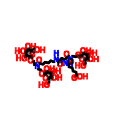 O=C(O)CCCCC(=O)NC(CC(=O)NCCCCCC(=O)N(CCO[C@H]1O[C@H](CO)[C@@H](O)[C@H](O)[C@@H]1O)CCO[C@H]1O[C@H](CO)[C@@H](O)[C@H](O)[C@@H]1O)C(=O)NCCO[C@H]1O[C@H](CO)[C@@H](O)[C@H](O)[C@@H]1O